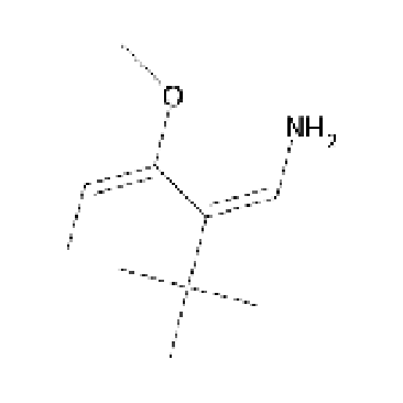 C/C=C(OC)\C(=C/N)C(C)(C)C